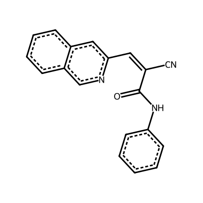 N#CC(=Cc1cc2ccccc2cn1)C(=O)Nc1ccccc1